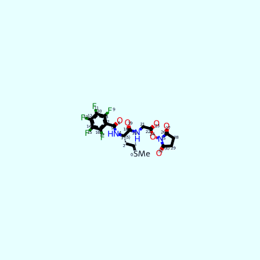 CSCC[C@H](NC(=O)c1c(F)c(F)c(F)c(F)c1F)C(=O)NCC(=O)ON1C(=O)CCC1=O